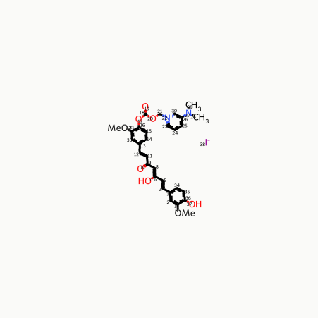 COc1cc(C=CC(O)=CC(=O)C=Cc2ccc(OC(=O)OC[n+]3cccc(N(C)C)c3)c(OC)c2)ccc1O.[I-]